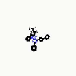 CC/C(=C/c1c(C)c2ccccc2n1C1=NC(c2ccccc2)=NC(c2ccc(-c3ccccc3)cc2)N1)CC(CC)CC